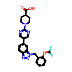 O=C(O)C1CCN(c2ncc(-c3ccc4nnn(Cc5ccccc5OC(F)F)c4c3)cn2)CC1